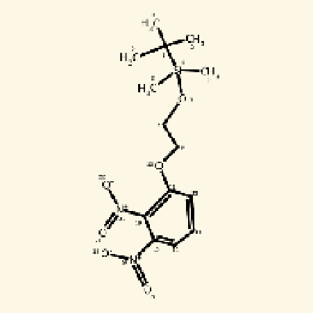 CC(C)(C)[Si](C)(C)OCCOc1cccc([N+](=O)[O-])c1[N+](=O)[O-]